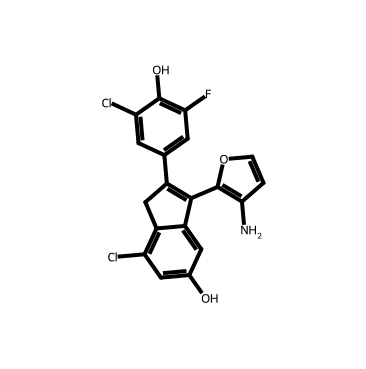 Nc1ccoc1C1=C(c2cc(F)c(O)c(Cl)c2)Cc2c(Cl)cc(O)cc21